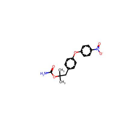 CC(C)(Cc1ccc(Oc2ccc([N+](=O)[O-])cc2)cc1)OC(N)=O